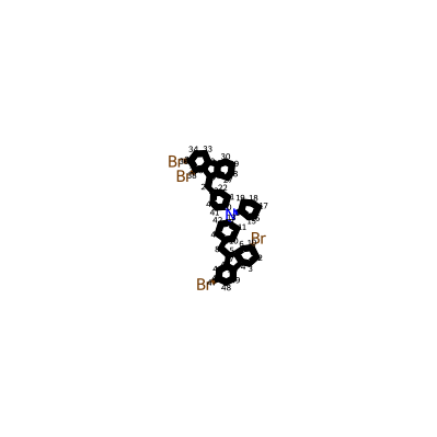 Brc1ccc2c(c1)C(=Cc1ccc(N(c3ccccc3)c3ccc(C=C4c5ccccc5-c5ccc(Br)c(Br)c54)cc3)cc1)c1cc(Br)ccc1-2